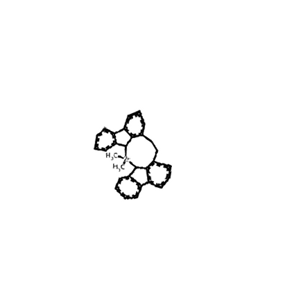 [CH3][Zr]1([CH3])[CH]2c3ccccc3-c3cccc(c32)CCc2cccc3c2[CH]1c1ccccc1-3